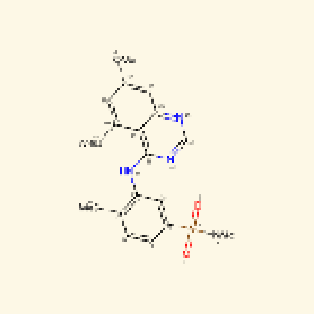 CNS(=O)(=O)c1ccc(SC)c(Nc2ncnc3cc(OC)cc(OC)c23)c1